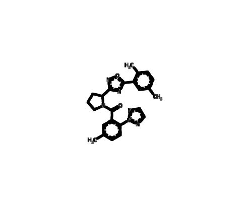 Cc1ccc(-n2nccn2)c(C(=O)N2CCCC2c2noc(-c3cc(C)ccc3C)n2)c1